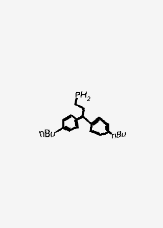 CCCCc1ccc(C(CCP)c2ccc(CCCC)cc2)cc1